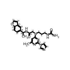 Cc1cc(N(CCCNC(N)=O)CC(=O)NC(C)c2ccc3occc3c2)nc(-n2ccnc2)n1